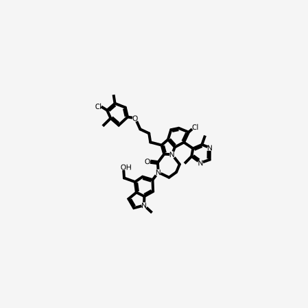 Cc1cc(OCCCc2c3n(c4c(-c5c(C)ncnc5C)c(Cl)ccc24)CCCN(c2cc(CO)c4ccn(C)c4c2)C3=O)cc(C)c1Cl